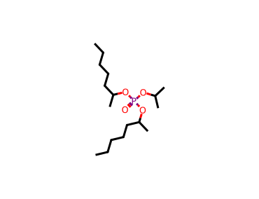 CCCCCC(C)OP(=O)(OC(C)C)OC(C)CCCCC